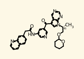 C[C@H](COC1CCCCO1)n1cc(C(=O)c2cncc(NC(=O)Cc3ccc4cccnc4c3)c2)c2cncnc21